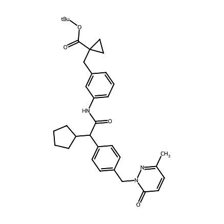 Cc1ccc(=O)n(Cc2ccc(C(C(=O)Nc3cccc(CC4(C(=O)OC(C)(C)C)CC4)c3)C3CCCC3)cc2)n1